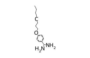 CCCCCCCCOc1ccc(C(N)N)cc1